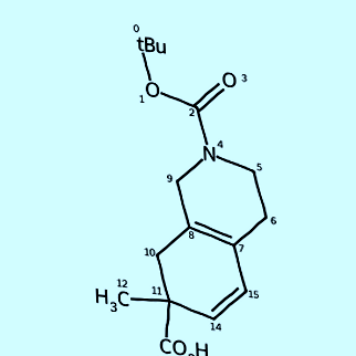 CC(C)(C)OC(=O)N1CCC2=C(C1)CC(C)(C(=O)O)C=C2